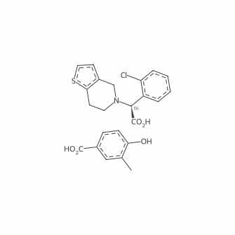 Cc1cc(C(=O)O)ccc1O.O=C(O)[C@H](c1ccccc1Cl)N1CCc2sccc2C1